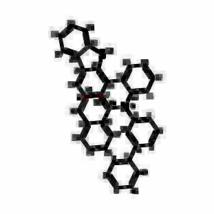 c1ccc(-c2cccc(N(c3ccccc3-c3cccc4c3sc3ccccc34)c3cccc4ccccc34)c2)cc1